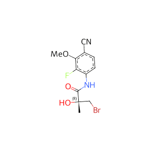 COc1c(C#N)ccc(NC(=O)[C@@](C)(O)CBr)c1F